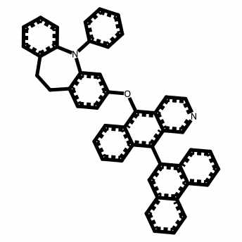 c1ccc(N2c3ccccc3CCc3ccc(Oc4c5ccccc5c(-c5cc6ccccc6c6ccccc56)c5cnccc45)cc32)cc1